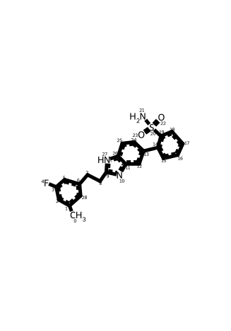 Cc1cc(F)cc(CCc2nc3cc(-c4ccccc4S(N)(=O)=O)ccc3[nH]2)c1